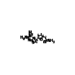 NC(=O)Cc1ccc(-c2csc(N=C(N)N)n2)o1